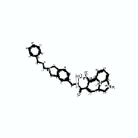 O=C(NCc1ccc2c(c1)CN(CCCc1ccccc1)C2)C1=CC2CNC3=CC=CC(=C1S(=O)(=O)O)N32